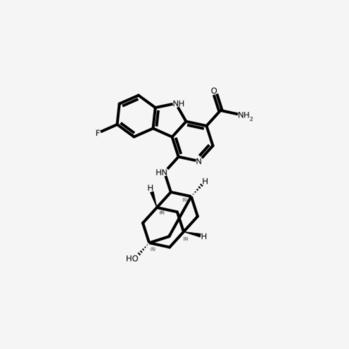 NC(=O)c1cnc(NC2[C@@H]3C[C@@H]4C[C@H]2C[C@@](O)(C4)C3)c2c1[nH]c1ccc(F)cc12